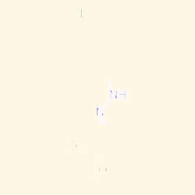 COC(=O)/C=N/Nc1ccc(Cl)cc1